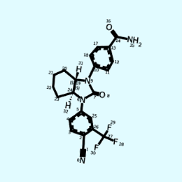 N#Cc1ccc(N2C(=O)N(c3ccc(C(N)=O)cc3)[C@H]3CCCC[C@@H]32)cc1C(F)(F)F